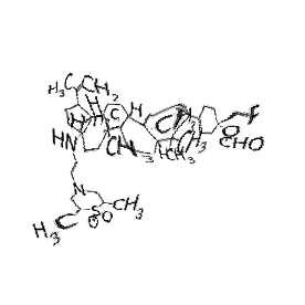 C=C(C)[C@@H]1CC[C@]2(NCCN3CC(C)S(=O)(=O)C(C)C3)CC[C@]3(C)[C@H](CC[C@@H]4[C@@]5(C)CC=C(C6=CC[C@@](CF)(OC=O)CC6)C(C)(C)[C@@H]5CC[C@]43C)[C@@H]12